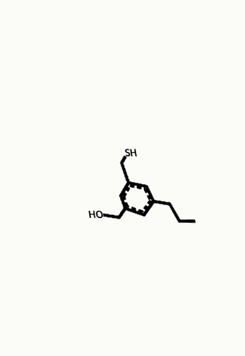 CCCc1cc(CO)cc(CS)c1